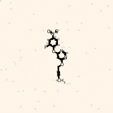 CC#CCOc1cc(Oc2ccc([N+](=O)[O-])cc2F)ncn1